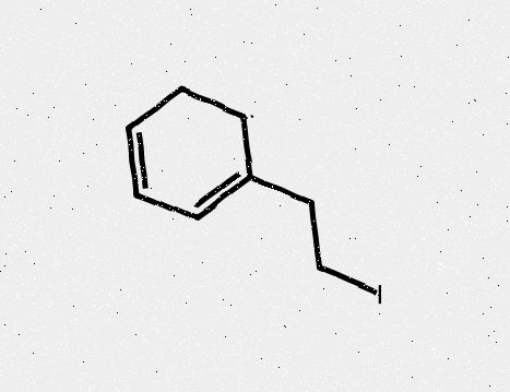 ICCC1=CC=CC[CH]1